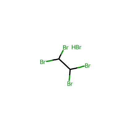 Br.BrC(Br)C(Br)Br